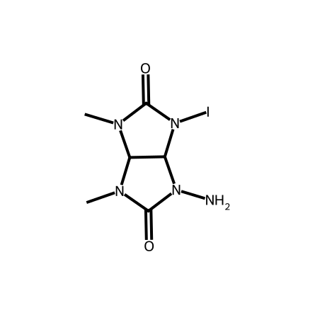 CN1C(=O)N(N)C2C1N(C)C(=O)N2I